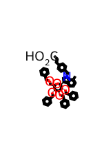 Cc1cccc2c([C@@H]3O[C@H](COCc4ccccc4)[C@@H](OCc4ccccc4)[C@H](OCc4ccccc4)[C@H]3OCc3ccccc3)cn(Cc3ccc(/C=C/C(=O)O)cc3)c12